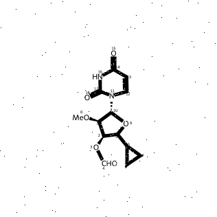 CO[C@@H]1[C@H](OC=O)C(C2CC2)O[C@H]1n1ccc(=O)[nH]c1=O